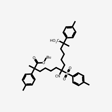 [C-]#[N+]C(CCCCC(C)(C(=O)O)c1ccc(C)cc1)(CCCCC(C)(C(=O)OC(C)CC)c1ccc(C)cc1)S(=O)(=O)c1ccc(C)cc1